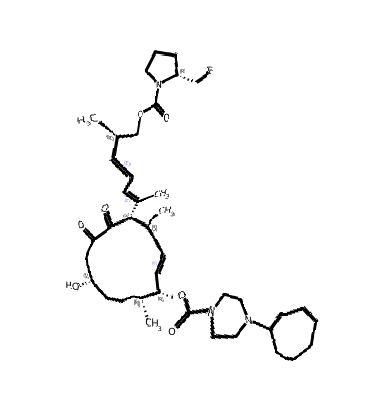 C/C(=C\C=C\[C@@H](C)COC(=O)N1CCC[C@@H]1CF)[C@H]1C(=O)C(=O)C[C@@H](O)CC[C@@H](C)[C@@H](OC(=O)N2CCN(C3CCCCCC3)CC2)/C=C/[C@@H]1C